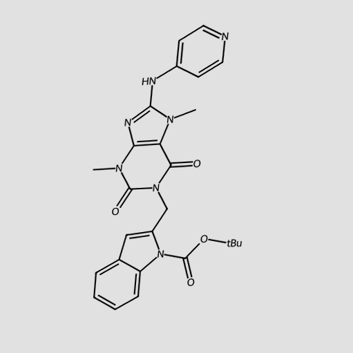 Cn1c(Nc2ccncc2)nc2c1c(=O)n(Cc1cc3ccccc3n1C(=O)OC(C)(C)C)c(=O)n2C